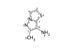 Cc1nn2ccsc2c1N